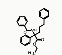 CCOC(=O)C(CCCc1ccccc1)(NC(=O)c1ccccc1)c1ccccc1